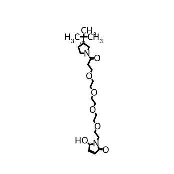 CC(C)(C)[C@@H]1CCN(C(=O)CCOCCOCCOCCOCCN2C(=O)C=CC2O)C1